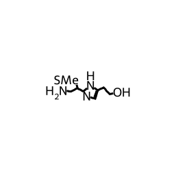 CSC(CN)c1ncc(CCO)[nH]1